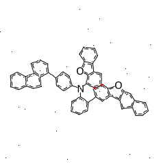 c1ccc(N(c2ccc(-c3cccc4c3ccc3ccccc34)cc2)c2cccc3c2oc2ccccc23)c(-c2ccc3oc4cc5ccccc5cc4c3c2)c1